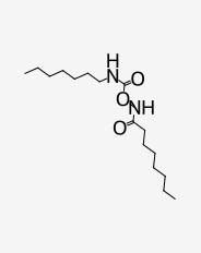 CCCCCCCNC(=O)ONC(=O)CCCCCCC